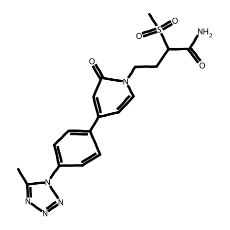 Cc1nnnn1-c1ccc(-c2ccn(CCC(C(N)=O)S(C)(=O)=O)c(=O)c2)cc1